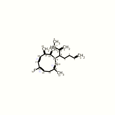 C=CCCC(C(=C)NC)N1/N=C(/C)C/C=C(F)\C=C/C(=C)C1=C